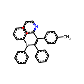 Cc1ccc(/C(=C(/B(c2ccccc2)c2ccccc2)c2ccccc2)c2ccccn2)cc1